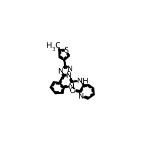 Cc1cc(-c2nc3c4ccccc4nc(Nc4ccccnc4=O)n3n2)cs1